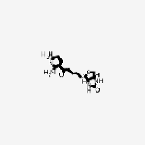 Nc1ccc(C(=O)CCCC[C@@H]2SC[C@@H]3NC(=O)N[C@@H]32)c(N)n1